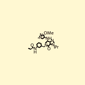 C=CC(=O)Nc1cccc(Cn2cc(Nc3cn(C)nc3OC)c3ncn(C(C)C)c3c2=O)c1